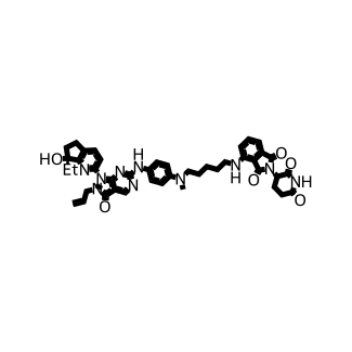 C=CCn1c(=O)c2cnc(Nc3ccc(N(C)CCCCCNc4cccc5c4C(=O)N(C4CCC(=O)NC4=O)C5=O)cc3)nc2n1-c1ccc2c(n1)[C@@](O)(CC)CC2